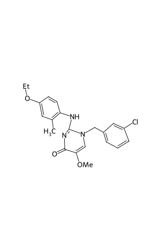 CCOc1ccc(Nc2nc(=O)c(OC)cn2Cc2cccc(Cl)c2)c(C)c1